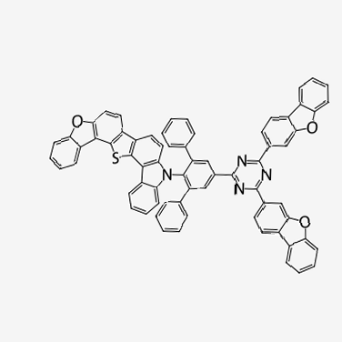 c1ccc(-c2cc(-c3nc(-c4ccc5c(c4)oc4ccccc45)nc(-c4ccc5c(c4)oc4ccccc45)n3)cc(-c3ccccc3)c2-n2c3ccccc3c3c4sc5c(ccc6oc7ccccc7c65)c4ccc32)cc1